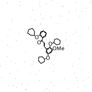 COc1cc(OC2CCCCC2)cc(C=CC(=O)c2ccccc2OC2CCCCC2)c1OC1CCCCC1